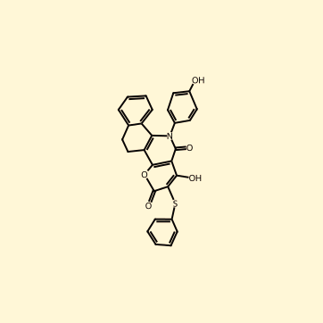 O=c1oc2c3c(n(-c4ccc(O)cc4)c(=O)c2c(O)c1Sc1ccccc1)-c1ccccc1CC3